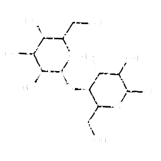 OCC1O[C@@H](O[C@@H]2C(CO)OC(O)C(O)[C@H]2O)[C@@H](O)C(O)[C@H]1O